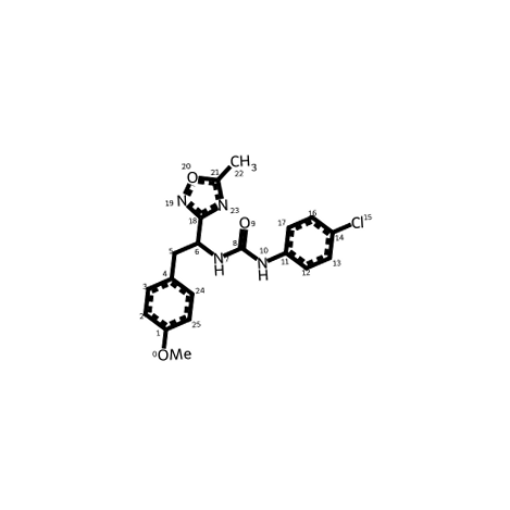 COc1ccc(CC(NC(=O)Nc2ccc(Cl)cc2)c2noc(C)n2)cc1